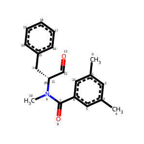 Cc1cc(C)cc(C(=O)N(C)[C@@H]([C]=O)Cc2ccccc2)c1